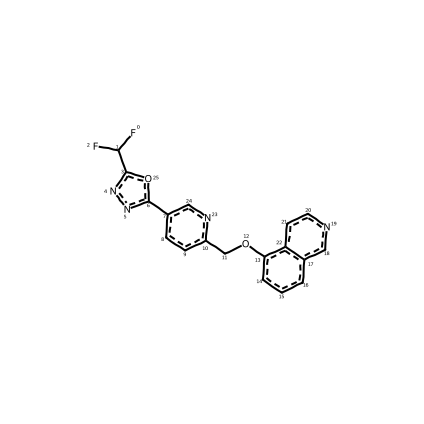 FC(F)c1nnc(-c2ccc(COc3cccc4cnccc34)nc2)o1